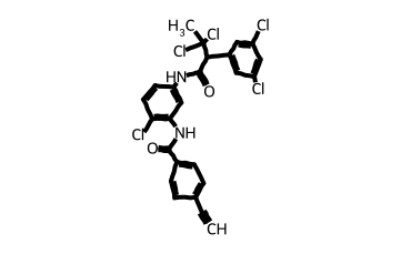 C#Cc1ccc(C(=O)Nc2cc(NC(=O)C(c3cc(Cl)cc(Cl)c3)C(C)(Cl)Cl)ccc2Cl)cc1